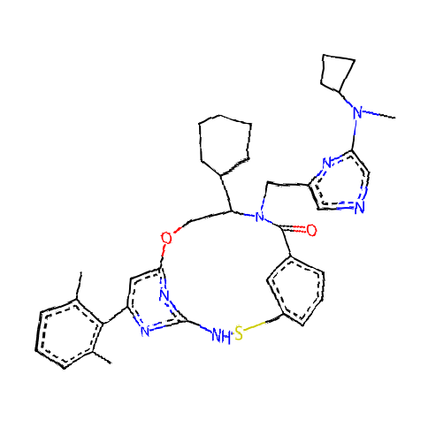 Cc1cccc(C)c1-c1cc2nc(n1)NSc1cccc(c1)C(=O)N(Cc1cncc(N(C)C3CCC3)n1)C(C1CCCCC1)CO2